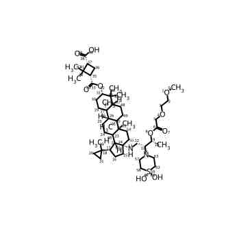 COCCOCC(=O)O[C@H](C)[C@@H](CN[C@]12CC[C@@H](C3(C)CC3)[C@@H]1[C@H]1CC[C@@H]3[C@@]4(C)CC[C@H](OC(=O)[C@H]5C[C@@H](C(=O)O)C5(C)C)C(C)(C)[C@@H]4CC[C@@]3(C)[C@]1(C)CC2)N1CCS(O)(O)CC1